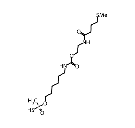 CSCCCC(=O)NCCOC(=O)NCCCCCCOP(C)(=O)S